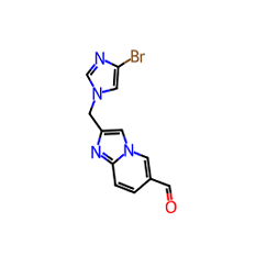 O=Cc1ccc2nc(Cn3cnc(Br)c3)cn2c1